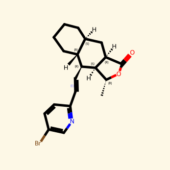 C[C@H]1OC(=O)[C@@H]2C[C@@H]3CCCC[C@H]3[C@H](/C=C/c3ccc(Br)cn3)[C@H]12